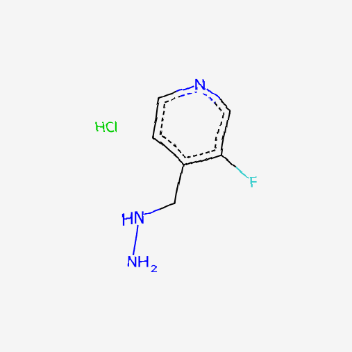 Cl.NNCc1ccncc1F